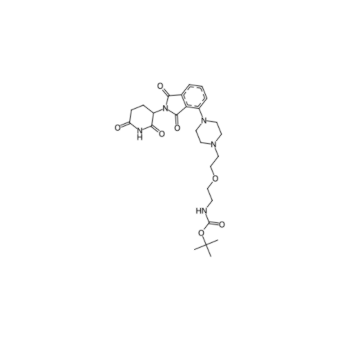 CC(C)(C)OC(=O)NCCOCCN1CCN(c2cccc3c2C(=O)N(C2CCC(=O)NC2=O)C3=O)CC1